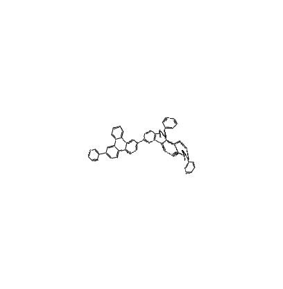 c1ccc(-c2ccc3c4ccc(-c5ccc6c(c5)c5ccc7c(ccn7-c7ccccc7)c5n6-c5ccccc5)cc4c4ccccc4c3c2)cc1